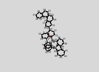 c1ccc(-c2ccccc2N(c2ccc(-c3ccc4c(ccc5ccc6ccccc6c54)c3)cc2)c2cccc3c4ccccc4n(-c4ccccc4)c23)cc1